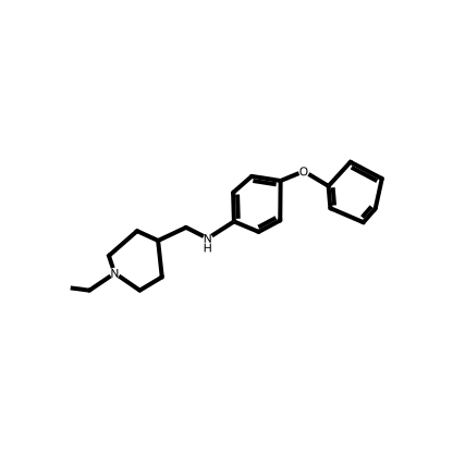 CCN1CCC(CNc2ccc(Oc3cc[c]cc3)cc2)CC1